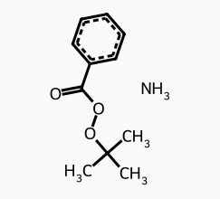 CC(C)(C)OOC(=O)c1ccccc1.N